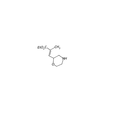 CCOC(=O)C(C)=CC1CNCCO1